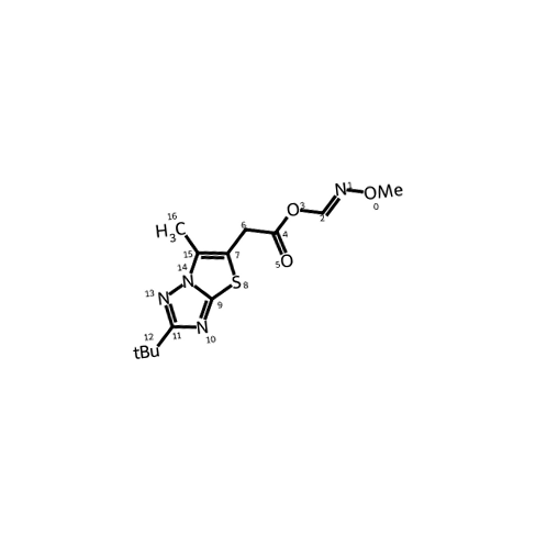 CO/N=C/OC(=O)Cc1sc2nc(C(C)(C)C)nn2c1C